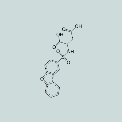 O=C(O)CC(NS(=O)(=O)c1ccc2oc3ccccc3c2c1)C(=O)O